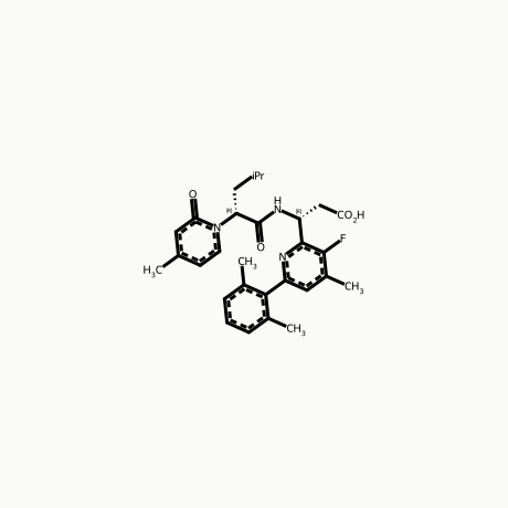 Cc1ccn([C@H](CC(C)C)C(=O)N[C@H](CC(=O)O)c2nc(-c3c(C)cccc3C)cc(C)c2F)c(=O)c1